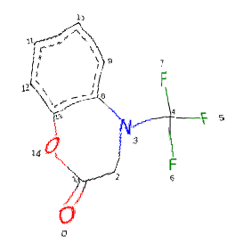 O=C1CN(C(F)(F)F)c2ccccc2O1